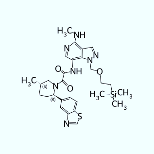 CNc1ncc(NC(=O)C(=O)N2C[C@@H](C)CC[C@@H]2c2ccc3scnc3c2)c2c1cnn2COCC[Si](C)(C)C